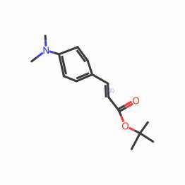 CN(C)c1ccc(/C=C/C(=O)OC(C)(C)C)cc1